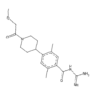 COCC(=O)N1CCC(c2cc(C)c(C(=O)NC(=N)N)cc2C)CC1